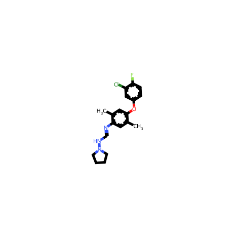 Cc1cc(Oc2ccc(F)c(Cl)c2)c(C)cc1/N=C/NN1CCCC1